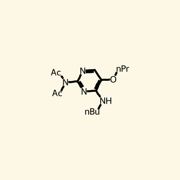 CCCCNc1nc(N(C(C)=O)C(C)=O)ncc1OCCC